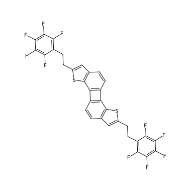 Fc1c(F)c(F)c(CCc2cc3ccc4c(c3s2)-c2ccc3cc(CCc5c(F)c(F)c(F)c(F)c5F)sc3c2-4)c(F)c1F